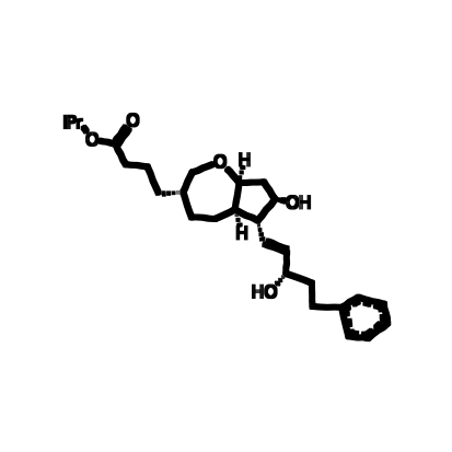 CC(C)OC(=O)CCC[C@H]1CC[C@@H]2[C@@H](C=C[C@@H](O)CCc3ccccc3)[C@H](O)C[C@@H]2OC1